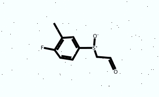 Cc1cc([S+]([O-])CC=O)ccc1F